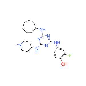 CN1CCC(Nc2nc(Nc3ccc(O)c(F)c3)nc(NC3CCCCCC3)n2)CC1